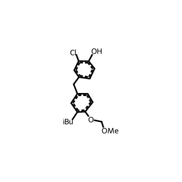 CCC(C)c1cc(Cc2ccc(O)c(Cl)c2)ccc1OCOC